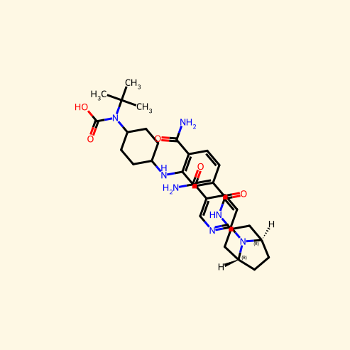 CC(C)(C)N(C(=O)O)C1CCC(Nc2cc(C(=O)NC3C[C@H]4CC[C@H](C3)N4c3ccc(C(N)=O)cn3)ccc2C(N)=O)CC1